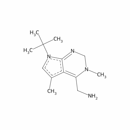 Cc1cn(C(C)(C)C)c2c1=C(CN)N(C)CN=2